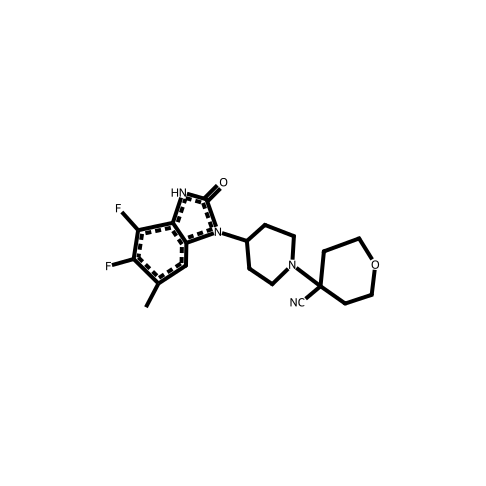 Cc1cc2c([nH]c(=O)n2C2CCN(C3(C#N)CCOCC3)CC2)c(F)c1F